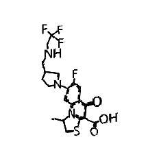 CC1CSc2c(C(=O)O)c(=O)c3cc(F)c(N4CCC(CNCC(F)(F)F)C4)cc3n21